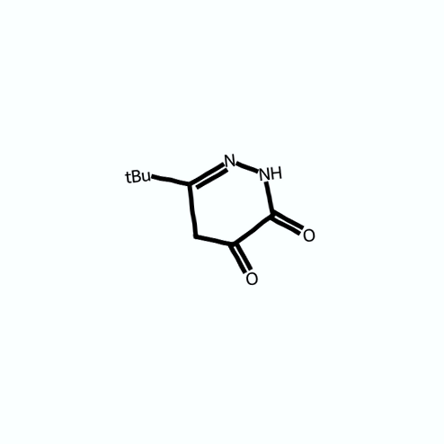 CC(C)(C)C1=NNC(=O)C(=O)C1